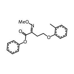 CON=C(CCOc1ccccc1C)C(=O)Oc1ccccc1